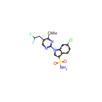 COc1nc(-n2cc(S(N)(=O)=O)c3ccc(Cl)cc32)ncc1CC(F)F